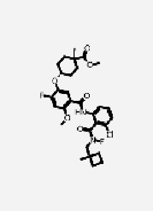 COc1cc(F)c(O[C@H]2CC[C@@](C)(C(=O)OC)CC2)cc1C(=O)Nc1cccc(Cl)c1C(=O)N(F)CC1(C)CCC1